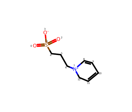 O=S(=O)([O-])CCC[N+]1C=CC=CC1